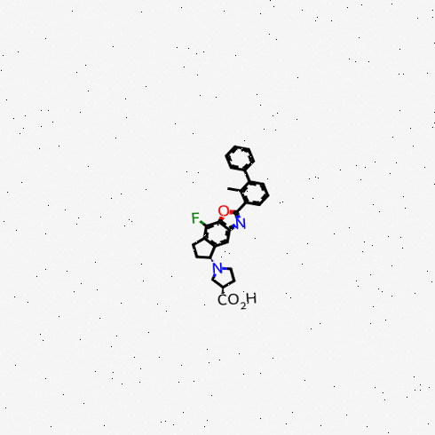 Cc1c(-c2ccccc2)cccc1-c1nc2cc3c(c(F)c2o1)CC[C@H]3N1CC[C@@H](C(=O)O)C1